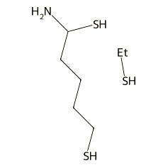 CCS.NC(S)CCCCS